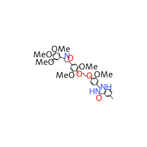 COc1cc(C2NC(=O)c3cc(C)ccc3N2)ccc1OCCOc1c(OC)cc(C2CC(c3cc(OC)c(OC)c(OC)c3)=NO2)cc1OC